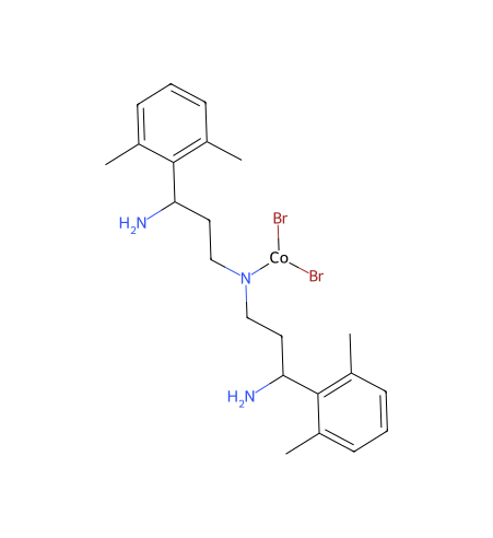 Cc1cccc(C)c1C(N)CC[N](CCC(N)c1c(C)cccc1C)[Co]([Br])[Br]